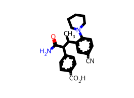 CC(c1cc(C#N)ccc1N1CCCCC1)C(C(N)=O)c1ccc(C(=O)O)cc1